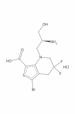 Cl.N[C@H](CO)CN1CC(F)(F)Cc2c(Br)sc(C(=O)O)c21